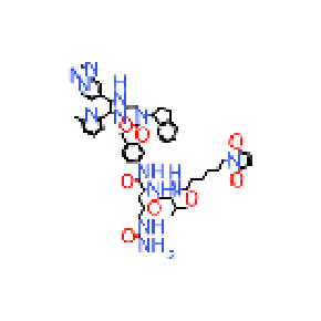 Cc1cccc(-c2nc(CN(C(=O)OCc3ccc(NC(=O)[C@H](CCCNC(N)=O)NC(=O)C(NC(=O)CCCCCN4C(=O)C=CC4=O)C(C)C)cc3)[C@H]3CCc4ccccc43)[nH]c2-c2ccn3ncnc3c2)n1